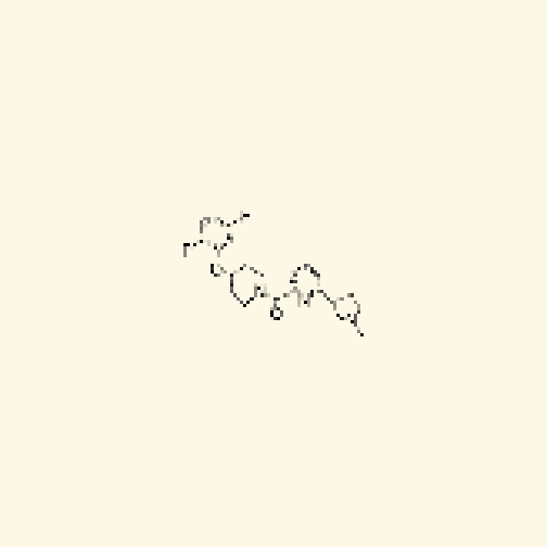 CN1CCC(c2cccc(C(=O)N3CCC(Oc4cc(F)ccc4F)CC3)n2)C1